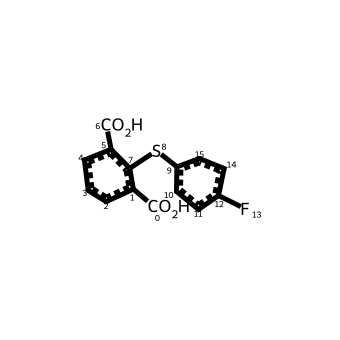 O=C(O)c1cccc(C(=O)O)c1Sc1ccc(F)cc1